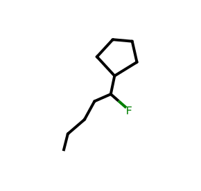 CCCCC(F)C1CCCC1